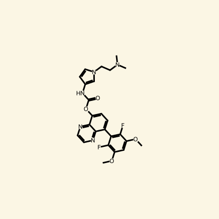 COc1cc(OC)c(F)c(-c2ccc(OC(=O)Nc3ccn(CCN(C)C)c3)c3nccnc23)c1F